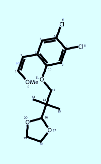 CO/C=C\c1cc(Cl)c(Cl)cc1OCC(C)(C)C1OCCO1